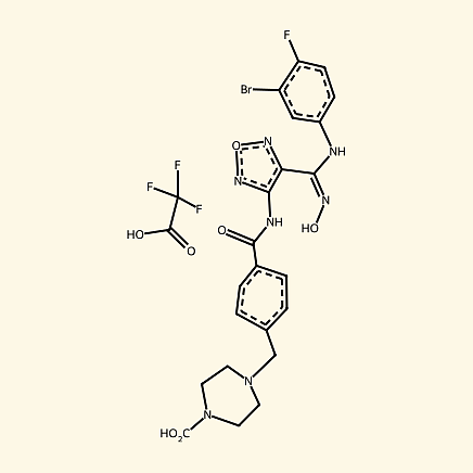 O=C(Nc1nonc1/C(=N\O)Nc1ccc(F)c(Br)c1)c1ccc(CN2CCN(C(=O)O)CC2)cc1.O=C(O)C(F)(F)F